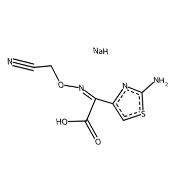 N#CCO/N=C(\C(=O)O)c1csc(N)n1.[NaH]